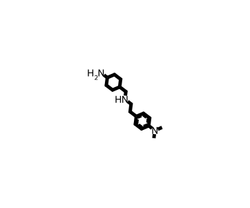 CN(C)c1ccc(CCNCC2CCC(N)CC2)cc1